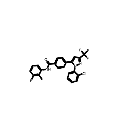 Cc1c(F)cccc1NC(=O)c1ccc(-c2cc(C(F)(F)F)nn2-c2ccccc2Cl)cc1